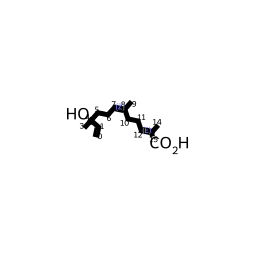 C=CC(C)(O)CC/C=C(/C)CC/C=C(\C)C(=O)O